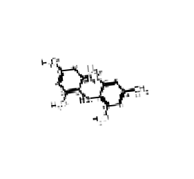 CC1=CC(C)=C(Bc2c(C)cc(C)cc2C)C(C)C1